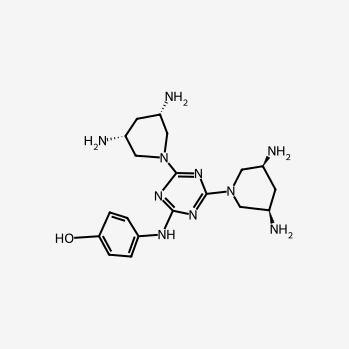 N[C@@H]1C[C@H](N)CN(c2nc(Nc3ccc(O)cc3)nc(N3C[C@H](N)C[C@H](N)C3)n2)C1